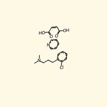 CN(C)CCCc1ccccc1Cl.O=C(O)/C=C\C(=O)O.c1ccncc1